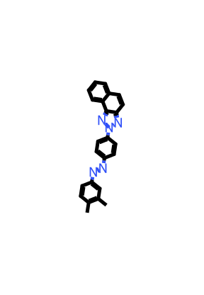 Cc1ccc(N=Nc2ccc(-n3nc4ccc5ccccc5c4n3)cc2)cc1C